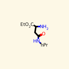 CCCNC(=O)CC(N)C(=O)OCC